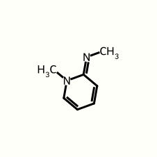 CN=c1ccccn1C